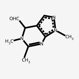 CC1=Nc2c(cnn2C)C(C=O)N1C